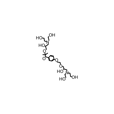 CC(C)(OCC(O)CN(CCO)CCO)C(=O)c1ccc(OCCOCC(O)CN(CCO)CCO)cc1